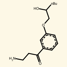 CCCCC(O)COc1cccc(C(=O)CCN)c1